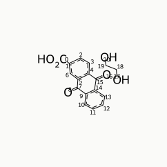 O=C(O)c1ccc2c(c1)C(=O)c1ccccc1C2=O.OCCO